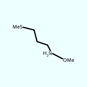 CO[SiH2]CCCSC